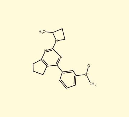 CC1CCN1c1nc2c(c(-c3cccc([S+](C)[O-])c3)n1)CCC2